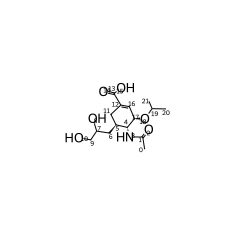 CC(=O)N[C@@H]1[C@@H](CC(O)CO)CC(C(=O)O)=C[C@H]1OC(C)C